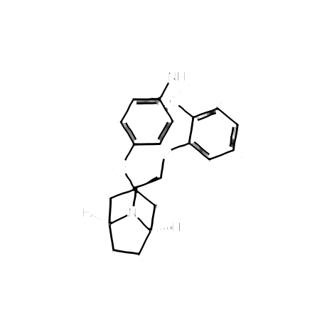 C[C@@]1(Oc2ccc(N)cc2)C[C@H]2CC[C@@H](C1)N2CCOc1ccccc1C(F)(F)F